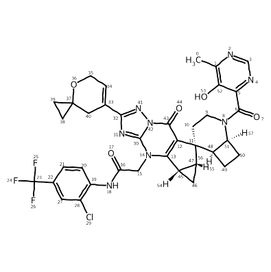 Cc1ncnc(C(=O)N2CC[C@]3(c4c(n(CC(=O)Nc5ccc(C(F)(F)F)cc5Cl)c5nc(C6=CCOC7(CC7)C6)nn5c4=O)[C@H]4C[C@H]43)[C@@H]3CC[C@@H]32)c1O